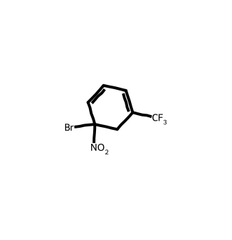 O=[N+]([O-])C1(Br)C=CC=C(C(F)(F)F)C1